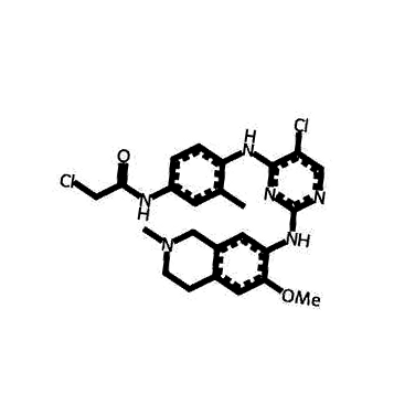 COc1cc2c(cc1Nc1ncc(Cl)c(Nc3ccc(NC(=O)CCl)cc3C)n1)CN(C)CC2